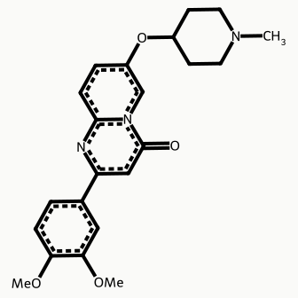 COc1ccc(-c2cc(=O)n3cc(OC4CCN(C)CC4)ccc3n2)cc1OC